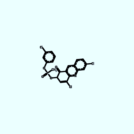 CP(=O)(Oc1cccc(Cl)c1)OC1C=C(Cl)c2nc3cc(Cl)ccc3cc2C1=O